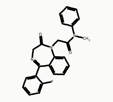 CN(C(=O)CN1C(=O)CN=C(c2ccccc2F)c2ccccc21)c1ccccc1